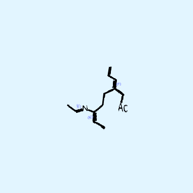 C=C/C=C(\CCC(=C\C)/N=C/C)CC(C)=O